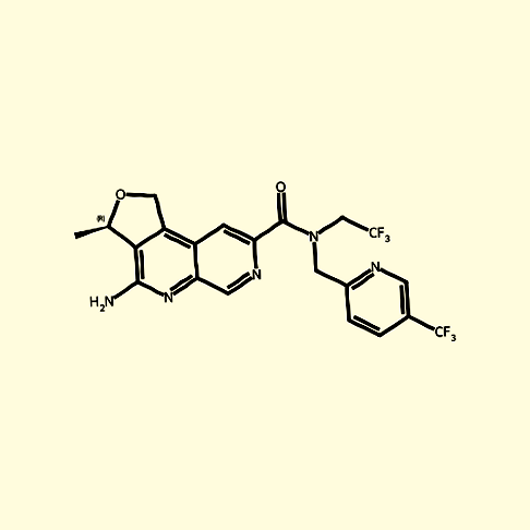 C[C@H]1OCc2c1c(N)nc1cnc(C(=O)N(Cc3ccc(C(F)(F)F)cn3)CC(F)(F)F)cc21